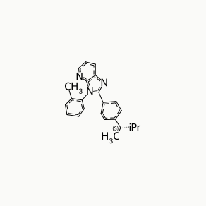 Cc1ccccc1-n1c(-c2ccc([C@@H](C)C(C)C)cc2)nc2cccnc21